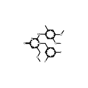 COCc1cc(=O)nc(Nc2cc(OC)c(OC)cc2C)n1Cc1cc(F)cc(F)c1